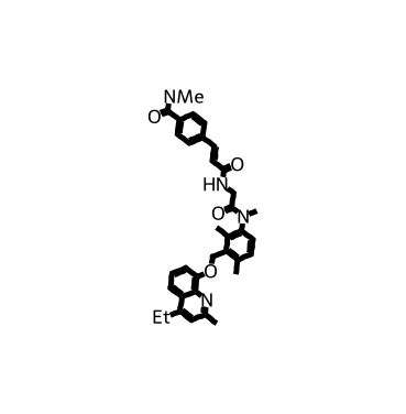 CCc1cc(C)nc2c(OCc3c(C)ccc(N(C)C(=O)CNC(=O)C=Cc4ccc(C(=O)NC)cc4)c3C)cccc12